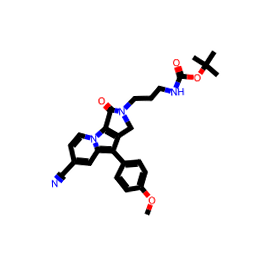 COc1ccc(-c2c3c(n4ccc(C#N)cc24)C(=O)N(CCCNC(=O)OC(C)(C)C)C3)cc1